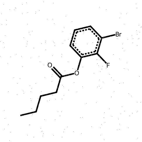 CCCCC(=O)Oc1cccc(Br)c1F